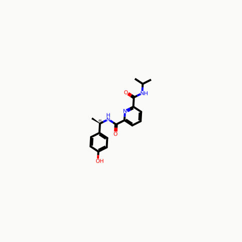 CC(C)NC(=O)c1cccc(C(=O)N[C@H](C)c2ccc(O)cc2)n1